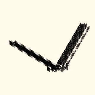 N.N.N.N.N.N.N.N.N.N.N.N.N.N.N.N.N.N.N.N.N.N.N.N.N.N.N.N.N.N.N.N.N.N.N.N.N.N.N.N.N.N.N.N.N.N.N.N.N.N.N.N.N.N.N.N.N.N.N.N.N.N.N.N.N.N.N.N.N.N.N.N.N.N.O=S(=O)(O)O.O=S(=O)(O)O.O=S(=O)(O)O.O=S(=O)(O)O